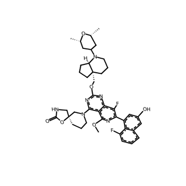 COc1nc(-c2cc(O)cc3cccc(F)c23)c(F)c2nc(OC[C@]34CCC[C@H]3N(C3C[C@@H](C)O[C@@H](C)C3)CCC4)nc(N3CCC[C@]4(CNC(=O)O4)C3)c12